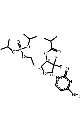 CC(C)OP(=O)(OCC[C@H]1O[C@@H](n2ccc(N)nc2=O)C(F)(F)[C@@H]1OC(=O)C(C)C)OC(C)C